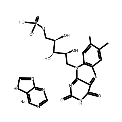 Cc1cc2nc3c(=O)[nH]c(=O)nc-3n(C[C@H](O)[C@H](O)[C@H](O)COP(=O)([O-])O)c2cc1C.[Na+].c1ncc2[nH]cnc2n1